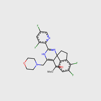 COC(=O)C1=C(CN2CCOCC2)NC(c2ncc(F)cc2F)=NC12CCc1c2ccc(F)c1F